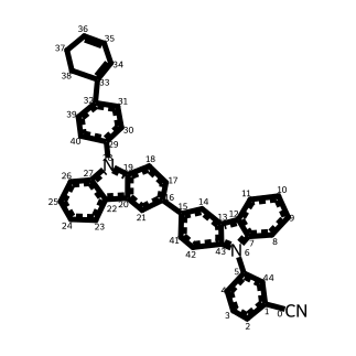 N#Cc1cccc(-n2c3ccccc3c3cc(-c4ccc5c(c4)c4ccccc4n5-c4ccc(C5=CC=CCC5)cc4)ccc32)c1